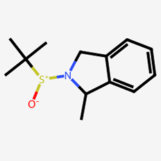 CC1c2ccccc2CN1[S+]([O-])C(C)(C)C